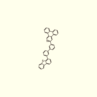 c1cc(-c2cccc(-c3cccc4c3sc3ccccc34)c2)cc(-c2cc3c4ccccc4c4ccccc4c3cn2)c1